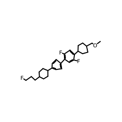 COCC1CCC(c2cc(F)c(-c3ccc(C4CCC(CCCF)CC4)cc3)cc2F)CC1